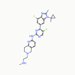 CNCCN1CCc2nc(Nc3ncc(F)c(-c4cc(F)c5nc(C)n(C6(C)CC6)c5c4)n3)ccc2C1